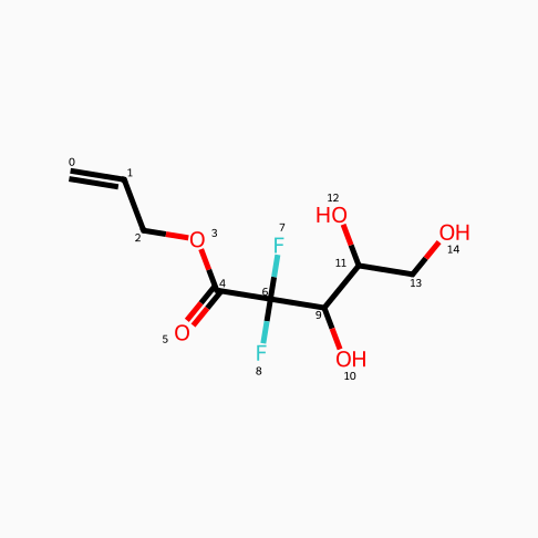 C=CCOC(=O)C(F)(F)C(O)C(O)CO